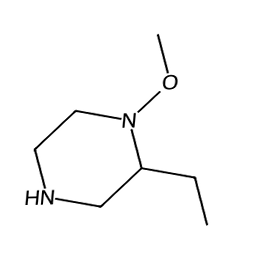 CCC1CNCCN1OC